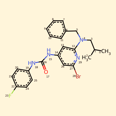 CC(C)CN(Cc1ccccc1)c1cc(NC(=O)Nc2ccc(F)cc2)cc(Br)n1